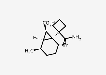 CC(C)[C@@H]1CC[C@@H](C)[C@H]2[C@@H](C(=O)O)[C@]21C1(C(N)=O)CCC1